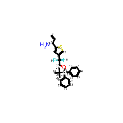 C=C[C@@H](N)c1cc(C(F)(F)CO[Si](c2ccccc2)(c2ccccc2)C(C)(C)C)cs1